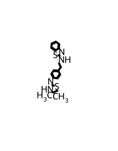 CC1(C)CS/C(=N\c2ccc(CCNc3nc4ccccc4s3)cc2)N1